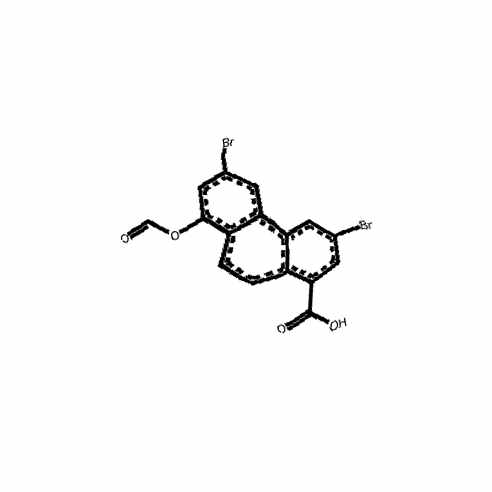 O=COc1cc(Br)cc2c1ccc1c(C(=O)O)cc(Br)cc12